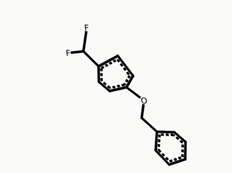 FC(F)c1ccc(OCc2ccccc2)cc1